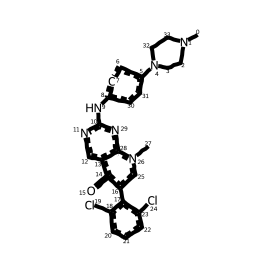 CN1CCN(c2ccc(Nc3ncc4c(=O)c(-c5c(Cl)cccc5Cl)cn(C)c4n3)cc2)CC1